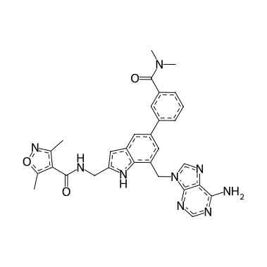 Cc1noc(C)c1C(=O)NCc1cc2cc(-c3cccc(C(=O)N(C)C)c3)cc(Cn3cnc4c(N)ncnc43)c2[nH]1